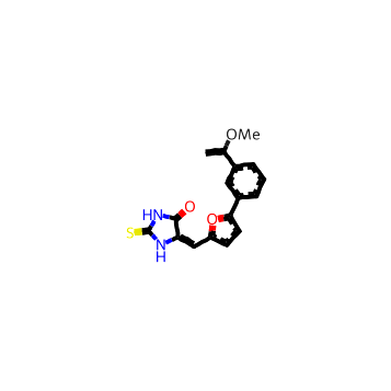 C=C(OC)c1cccc(-c2ccc(C=C3NC(=S)NC3=O)o2)c1